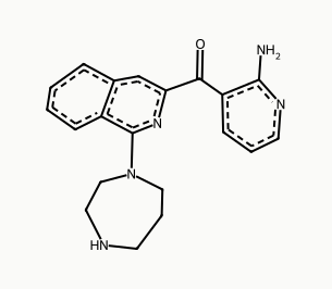 Nc1ncccc1C(=O)c1cc2ccccc2c(N2CCCNCC2)n1